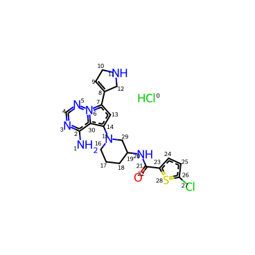 Cl.Nc1ncnn2c(C3=CCNC3)cc(N3CCCC(NC(=O)c4ccc(Cl)s4)C3)c12